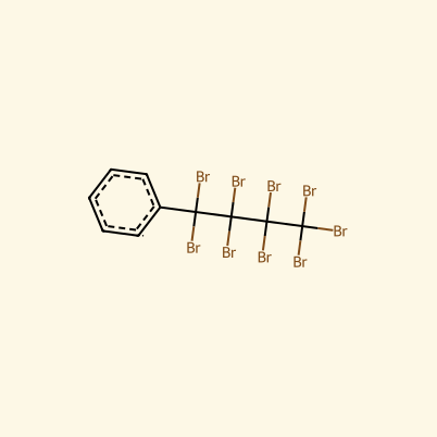 BrC(Br)(Br)C(Br)(Br)C(Br)(Br)C(Br)(Br)c1[c]cccc1